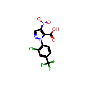 O=C(O)c1c([N+](=O)[O-])cnn1-c1ccc(C(F)(F)F)cc1Cl